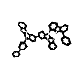 c1ccc(-c2ccc(-n3c4ccc(-c5ccc6c(c5)n5c7ccccc7nc5n6-c5cccc6c5sc5c(-c7ccccc7)cccc56)cc4n4c5ccccc5nc34)cc2)cc1